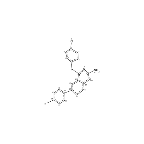 Nc1nc(Cc2ccc(Cl)cc2)c2nc(-c3ccc(F)cc3)ccc2n1